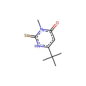 Cn1c(=O)cc(C(C)(C)C)[nH]c1=S